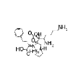 NCCCCC(N)C(=O)[C@]1(OC(=O)O)C[C@@H]2CCC[C@@H]2N1[C@@H](CCc1ccccc1)C(=O)O